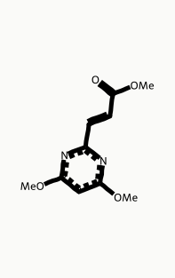 COC(=O)C=Cc1nc(OC)cc(OC)n1